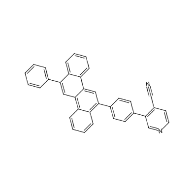 N#Cc1ccncc1-c1ccc(-c2cc3c4ccccc4c(-c4ccccc4)cc3c3ccccc23)cc1